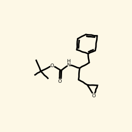 CC(C)(C)OC(=O)NC(Cc1ccccc1)CC1CO1